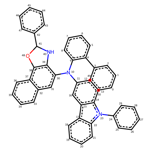 c1ccc(-c2ccccc2N(c2ccc3c(c2)c2ccccc2n3-c2ccccc2)c2cc3ccccc3c3c2NC(c2ccccc2)O3)cc1